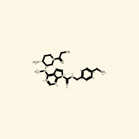 C[C@@H]1CCN(C(=O)CC#N)C[C@@H]1N(C)c1ncnc2c1ccn2C(=O)OCc1ccc(CN)cc1